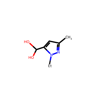 CCn1nc(C)cc1C(O)O